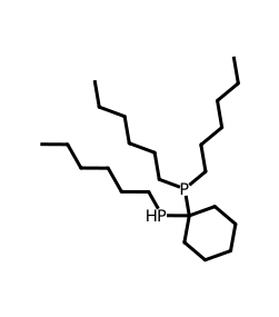 CCCCCCPC1(P(CCCCCC)CCCCCC)CCCCC1